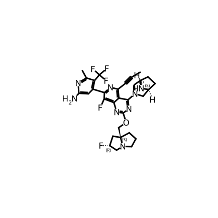 CC#Cc1nc(-c2cc(N)nc(C)c2C(F)(F)F)c(F)c2nc(OC[C@@]34CCCN3C[C@H](F)C4)nc(N3C[C@H]4CC[C@@H](C3)N4)c12